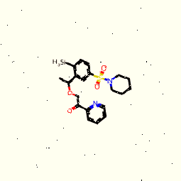 CC(OCC(=O)c1ccccn1)c1cc(S(=O)(=O)N2CCCCC2)ccc1[SiH3]